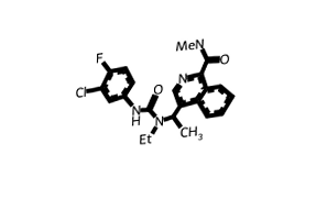 CCN(C(=O)Nc1ccc(F)c(Cl)c1)C(C)c1cnc(C(=O)NC)c2ccccc12